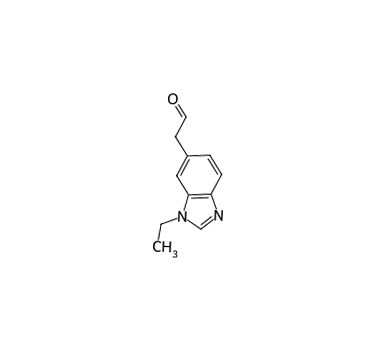 CCn1cnc2ccc(CC=O)cc21